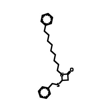 O=C1CC(SCc2ccccc2)N1CCCCCCCCCc1ccccc1